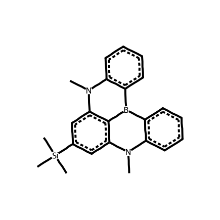 CN1c2ccccc2B2c3ccccc3N(C)c3cc([Si](C)(C)C)cc1c32